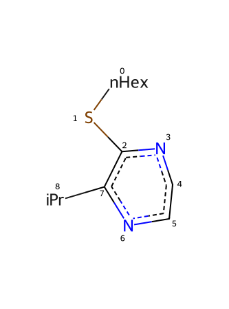 CCCCCCSc1nccnc1C(C)C